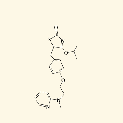 CC(C)OC1=NC(=O)SC1Cc1ccc(OCCN(C)c2ccccn2)cc1